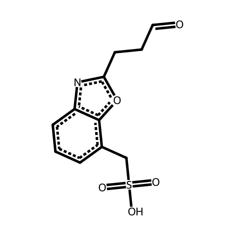 O=CCCc1nc2cccc(CS(=O)(=O)O)c2o1